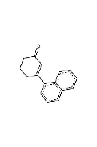 O=C1C=C(c2cccc3ccccc23)CCC1